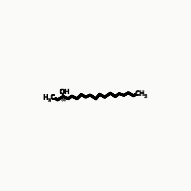 CCCCCCCCCCCCCCCC[C@@H](O)CC